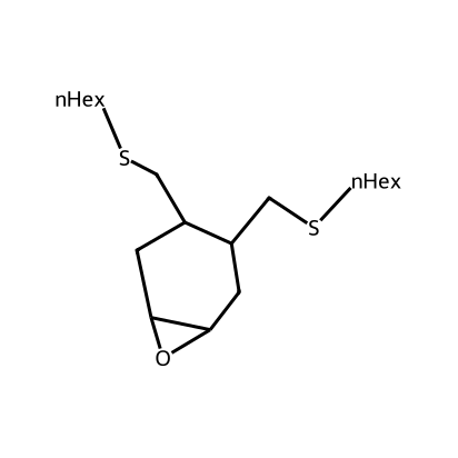 CCCCCCSCC1CC2OC2CC1CSCCCCCC